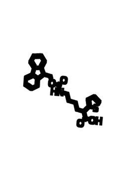 O=C(NCCCCC(C(=O)O)c1cccs1)OCC1c2ccccc2-c2ccccc21